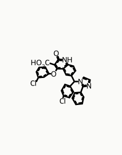 O=C(O)c1c(Oc2cccc(Cl)c2)c2cc(C(c3ccc(Cl)cc3)n3ccnc3-c3ccccc3)ccc2[nH]c1=O